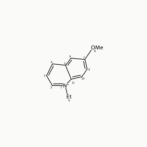 CC[n+]1cccc2cc(OC)ccc21